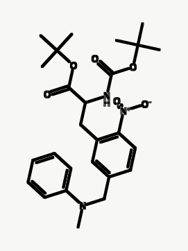 CN(Cc1ccc([N+](=O)[O-])c(CC(NC(=O)OC(C)(C)C)C(=O)OC(C)(C)C)c1)c1ccccc1